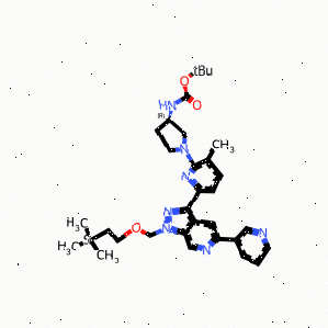 Cc1ccc(-c2nn(COCC[Si](C)(C)C)c3cnc(-c4cccnc4)cc23)nc1N1CC[C@@H](NC(=O)OC(C)(C)C)C1